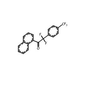 O=C(c1cccc2ccccc12)C(F)(F)c1ccc(C(F)(F)F)cc1